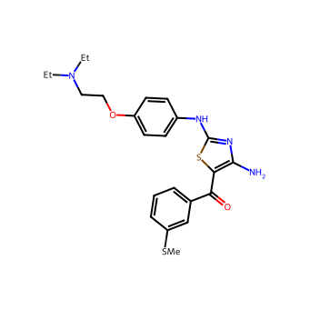 CCN(CC)CCOc1ccc(Nc2nc(N)c(C(=O)c3cccc(SC)c3)s2)cc1